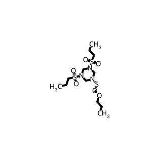 CCCOOSN1CN(S(=O)(=O)CCC)CN(S(=O)(=O)CCC)C1